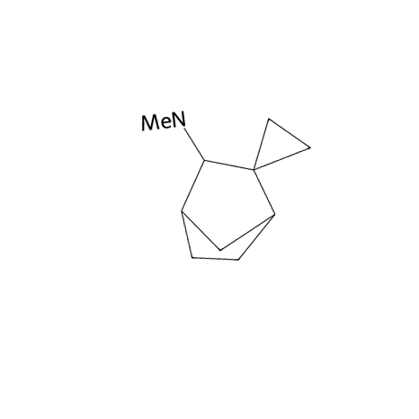 CNC1C2CCC(C2)C12CC2